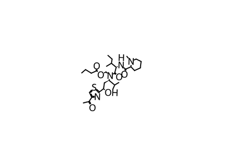 CCCC(=O)OCN(C(=O)[C@@H](NC(=O)C1CCCCN1C)C(C)CC)[C@H](C[C@@H](O)c1nc(C(C)=O)cs1)C(C)C